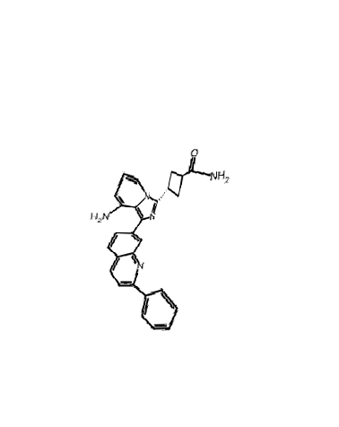 Nc1cccn2c1c(-c1ccc3ccc(-c4ccccc4)nc3c1)nc2[C@H]1C[C@H](C(N)=O)C1